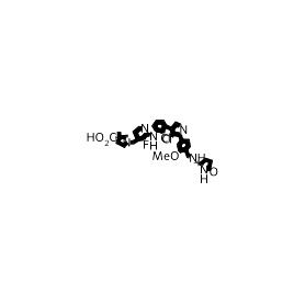 COc1cc(-c2nccc(-c3cccc(Nc4nccc(CN5CC[C@](C)(C(=O)O)C5)c4F)c3Cl)c2Cl)ccc1CNC[C@@H]1CCC(=O)N1